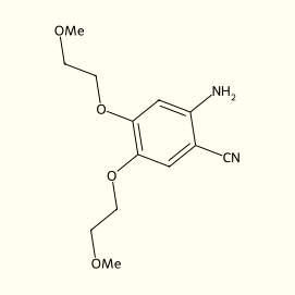 COCCOc1cc(N)c(C#N)cc1OCCOC